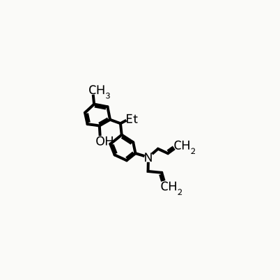 C=CCN(CC=C)c1cccc(C(CC)c2cc(C)ccc2O)c1